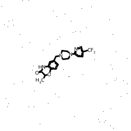 CC1Oc2ccc(CN3CCN(c4ccc(C(F)(F)F)cn4)CC3)cc2NC1=O